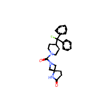 O=C1CCC2(CN(C(=O)N3CCC(C(F)(c4ccccc4)c4ccccc4)CC3)C2)N1